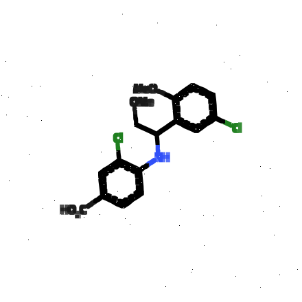 COCC(Nc1ccc(C(=O)O)cc1Cl)c1cc(Cl)ccc1OC